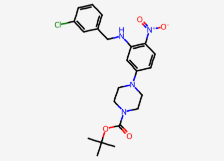 CC(C)(C)OC(=O)N1CCN(c2ccc([N+](=O)[O-])c(NCc3cccc(Cl)c3)c2)CC1